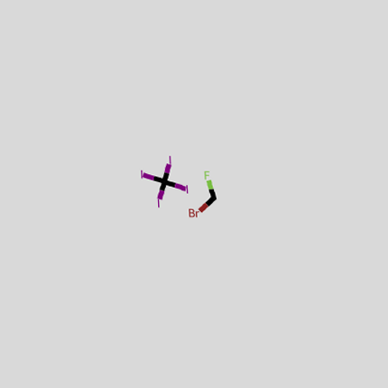 FCBr.IC(I)(I)I